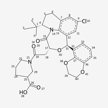 CC(C)(C)[C@@H]1CCc2cc(Cl)cc3c2N1C(=O)[C@@H](CC(=O)N1CCCC(C(=O)O)C1)O[C@@H]3c1cccc2c1OCCO2